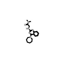 CN(C)C(=O)CNc1nc(N2CCCCCC2)c2ccccc2n1